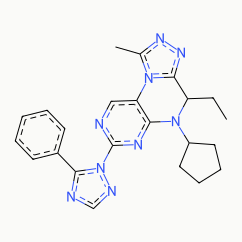 CCC1c2nnc(C)n2-c2cnc(-n3ncnc3-c3ccccc3)nc2N1C1CCCC1